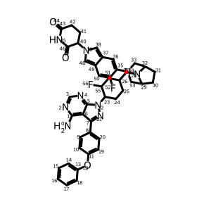 Nc1ncnc2c1c(-c1ccc(Oc3ccccc3)cc1)nn2C1CCC(CN2C3CCC2CN(c2cc4cn(C5CCC(=O)NC5=O)cc4cc2F)C3)CC1F